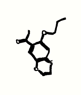 CCCOc1cc2c(cc1C(C)=O)OCCS2